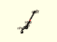 CCCNC(=O)CCCCCCCCCCC(=O)NCCC(=O)Oc1cccc2c1CC[C@@H](N(CCC)CCc1cccs1)C2